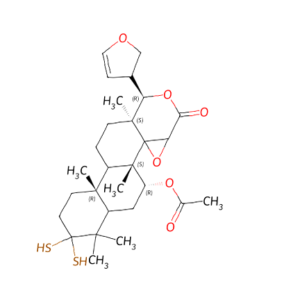 CC(=O)O[C@@H]1CC2C(C)(C)C(S)(S)CC[C@]2(C)C2CC[C@@]3(C)[C@@H](C4C=COC4)OC(=O)C4OC43[C@@]21C